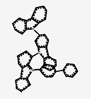 c1ccc(-c2ccc(-n3c4ccccc4c4cccc(-n5c6ccccc6c6ccc(-n7c8ccccc8c8ccccc87)cc65)c43)cc2)cc1